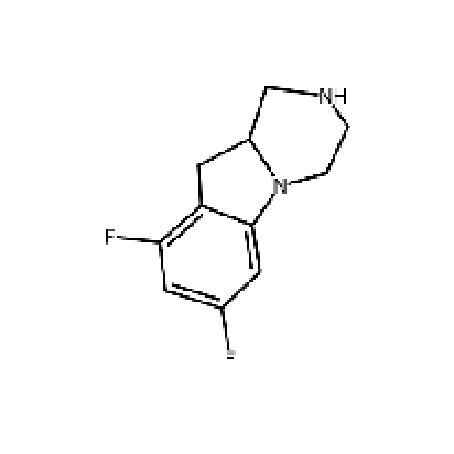 Fc1cc(F)c2c(c1)N1CCNCC1C2